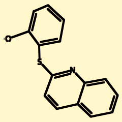 [O]c1ccccc1Sc1ccc2ccccc2n1